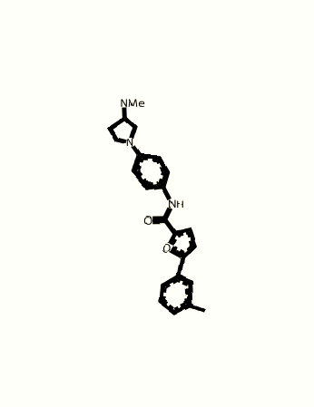 CNC1CCN(c2ccc(NC(=O)c3ccc(-c4cccc(C)c4)o3)cc2)C1